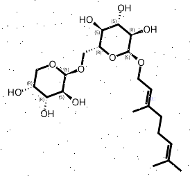 CC(C)=CCC/C(C)=C/CO[C@H]1O[C@H](CO[C@@H]2OC[C@@H](O)[C@@H](O)[C@@H]2O)[C@@H](O)[C@H](O)[C@H]1O